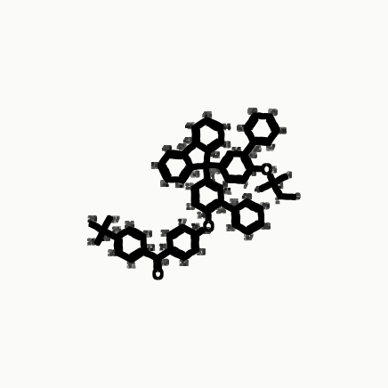 CCC(C)(C)Oc1ccc(C2(c3ccc(Oc4ccc(C(=O)c5ccc(C(C)(C)C)cc5)cc4)c(-c4ccccc4)c3)c3ccccc3-c3ccccc32)cc1-c1ccccc1